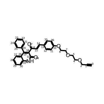 C#CCOCCOCCOc1ccc(/C=C/C(=O)c2c(-c3ccccc3)c3ccccc3[nH]c2=O)cc1